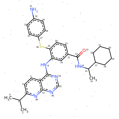 CC(C)c1ccc2c(Nc3cc(C(=O)NC(C)C4CCCCC4)ccc3Sc3ccc(N)cc3)ncnc2n1